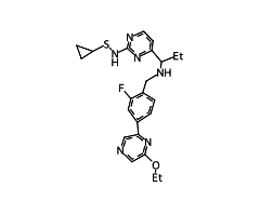 CCOc1cncc(-c2ccc(CNC(CC)c3ccnc(NSC4CC4)n3)c(F)c2)n1